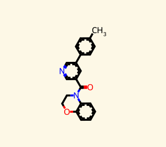 Cc1ccc(-c2cncc(C(=O)N3CCOc4ccccc43)c2)cc1